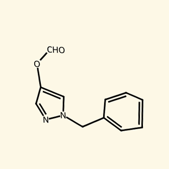 O=COc1cnn(Cc2ccccc2)c1